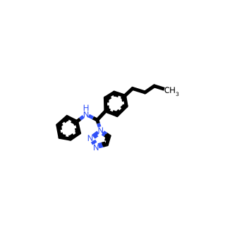 CCCCc1ccc(C(Nc2ccccc2)n2ccnn2)cc1